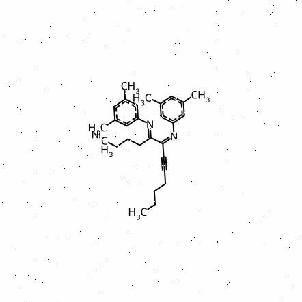 CCCCC#CC(=Nc1cc(C)cc(C)c1)C(CCCC)=Nc1cc(C)cc(C)c1.[Ni]